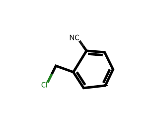 N#Cc1cc[c]cc1CCl